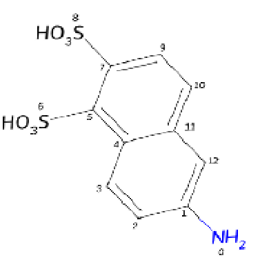 Nc1ccc2c(S(=O)(=O)O)c(S(=O)(=O)O)ccc2c1